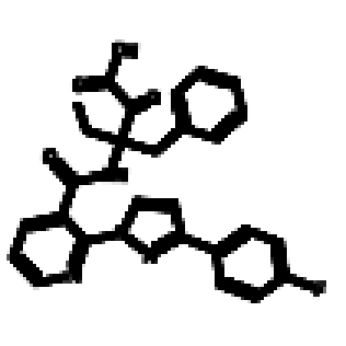 CCC(Cc1ccccc1)(NC(=O)c1cccnc1-n1ccc(-c2ccc(F)cc2)n1)C(=O)C(=O)O